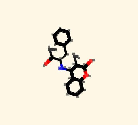 COC(=O)[C@H](Cc1ccccc1)Nc1c([N+](=O)[O-])c(=O)oc2ccccc12